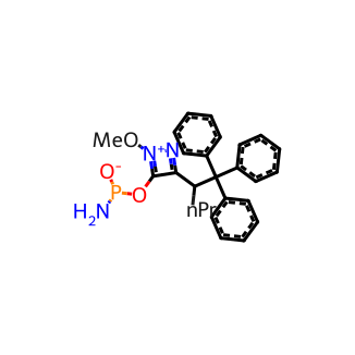 CCCC(C1=N[N+](OC)=C1OP(N)[O-])C(c1ccccc1)(c1ccccc1)c1ccccc1